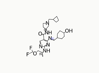 C[C@@H](COC(F)F)Nc1ncc(C(=O)N[C@H]2CCN(CC3CCC3)C2)c(/N=C/C2CCC(O)CC2)n1